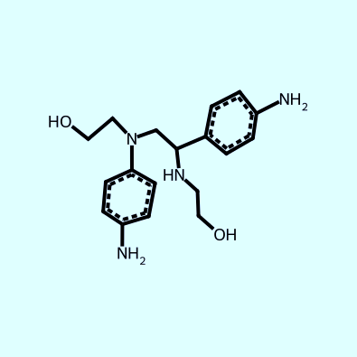 Nc1ccc(C(CN(CCO)c2ccc(N)cc2)NCCO)cc1